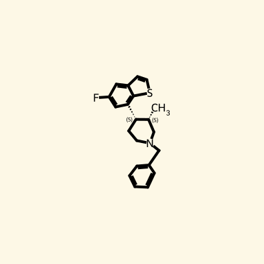 C[C@@H]1CN(Cc2ccccc2)CC[C@@H]1c1cc(F)cc2ccsc12